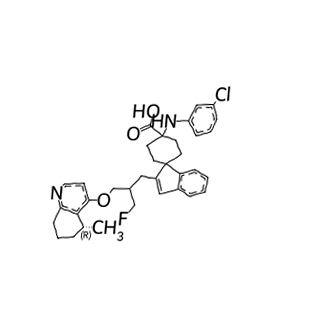 C[C@@H]1CCCc2nccc(OCC(CF)CC3=Cc4ccccc4C34CCC(Nc3cccc(Cl)c3)(C(=O)O)CC4)c21